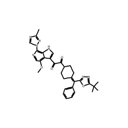 COc1cnc(-n2cnc(C)n2)c2[nH]cc(C(=O)C(=O)C3CCC(=C(c4ccccc4)c4nnc(C(C)(C)C)o4)CC3)c12